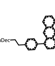 CCCCCCCCCCCCc1ccc(-c2cccc3cc4ccccc4cc23)cc1